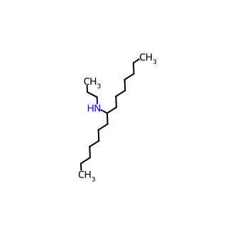 CCCCCCCC(CCCCCCC)NCCC